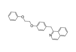 c1ccc(OCCOc2ccc(Cc3nccc4ccccc34)cc2)cc1